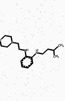 CC(C)CCNc1ccccc1NCCN1CCOCC1